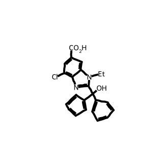 CCn1c(C(O)(c2ccccc2)c2ccccc2)nc2c(Cl)cc(C(=O)O)cc21